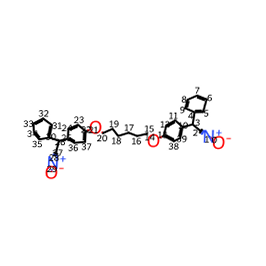 [O-][N+]#CC(c1ccccc1)c1ccc(OCCCCCCOc2ccc(C(C#[N+][O-])c3ccccc3)cc2)cc1